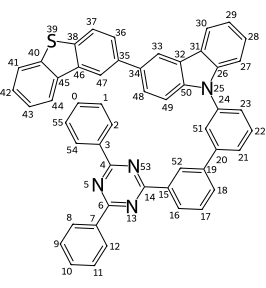 c1ccc(-c2nc(-c3ccccc3)nc(-c3cccc(-c4cccc(-n5c6ccccc6c6cc(-c7ccc8sc9ccccc9c8c7)ccc65)c4)c3)n2)cc1